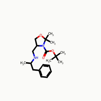 CC(Cc1ccccc1)NCC1COC(C)(C)N1C(=O)OC(C)(C)C